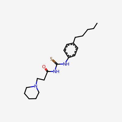 CCCCCc1ccc(NC(=S)NC(=O)CCN2CCCCC2)cc1